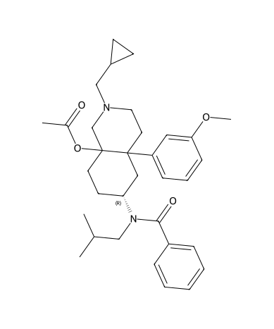 COc1cccc(C23CCN(CC4CC4)CC2(OC(C)=O)CC[C@@H](N(CC(C)C)C(=O)c2ccccc2)C3)c1